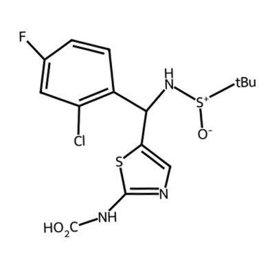 CC(C)(C)[S+]([O-])NC(c1cnc(NC(=O)O)s1)c1ccc(F)cc1Cl